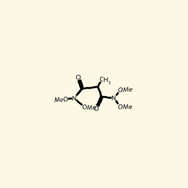 CON(OC)C(=O)C(C)C(=O)N(OC)OC